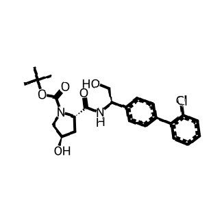 CC(C)(C)OC(=O)N1C[C@H](O)C[C@H]1C(=O)N[C@@H](CO)c1ccc(-c2ccccc2Cl)cc1